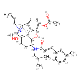 C=CCN1CC[C@]23c4c5ccc(OC(C)=O)c4OC2C(N(CC(C)C)C(=O)/C=C/c2cccc(C)c2)CC[C@@]3(O)[C@H]1C5